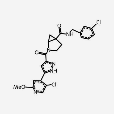 COc1cc(-c2cc(C(=O)N3CCC4(C(=O)NCc5cccc(Cl)c5)CC34)n[nH]2)c(Cl)cn1